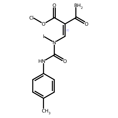 BC(=O)/C(=C/N(I)C(=O)Nc1ccc(C)cc1)C(=O)OCl